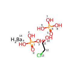 O=P(O)(O)O.O=P(O)(O)O.OCCCl.[BaH2]